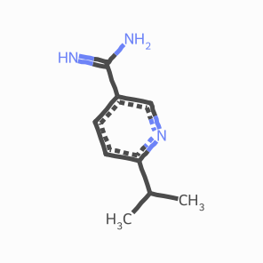 CC(C)c1ccc(C(=N)N)cn1